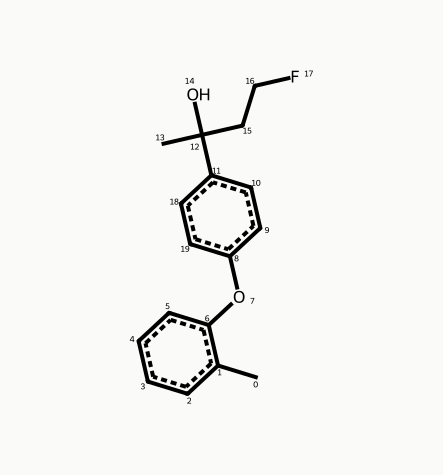 Cc1ccccc1Oc1ccc(C(C)(O)CCF)cc1